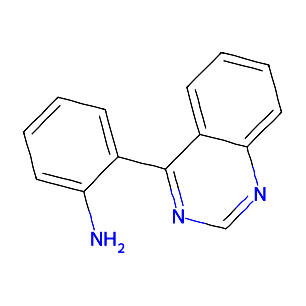 Nc1ccccc1-c1ncnc2ccccc12